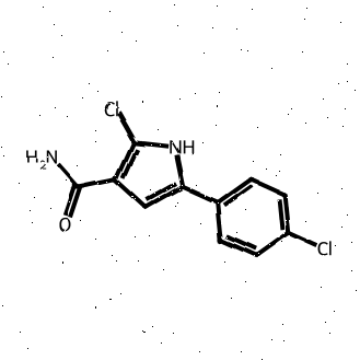 NC(=O)c1cc(-c2ccc(Cl)cc2)[nH]c1Cl